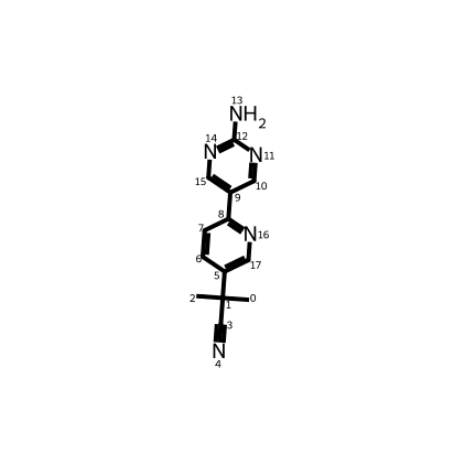 CC(C)(C#N)c1ccc(-c2cnc(N)nc2)nc1